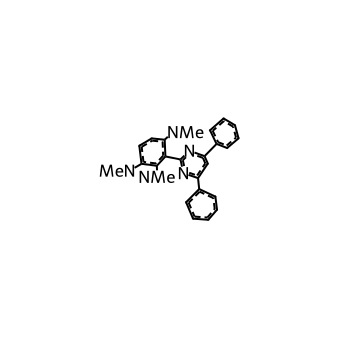 CNc1ccc(NC)c(-c2nc(-c3ccccc3)cc(-c3ccccc3)n2)c1NC